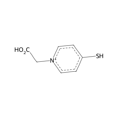 O=C(O)C[n+]1ccc(S)cc1